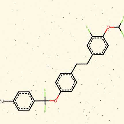 CCCCc1ccc(C(F)(F)Oc2ccc(CCc3ccc(OC(F)F)c(F)c3)cc2)cc1